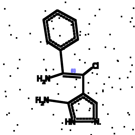 N/C(=C(/Cl)c1cn[nH]c1N)c1ccccc1